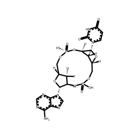 Nc1ncnc2c1ncn2[C@@H]1O[C@@H]2CO[P@](=O)(S)O[C@@H]3[C@H](F)[C@@H](COP(=O)(O)O[C@@H]1[C@@H]2F)O[C@H]3n1ccc(=O)[nH]c1=O